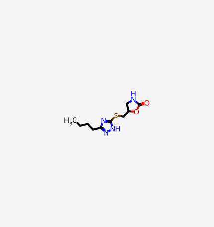 CCCCc1n[nH]c(SCC2CNC(=O)O2)n1